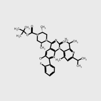 Cc1cc(C(C)C)nc(C(C)C)c1-n1c(=O)nc(N2C[C@@H](C)N(C(=O)OC(C)(C)C)C[C@@H]2C)c2cc(Cl)c(-c3ccccc3F)nc21